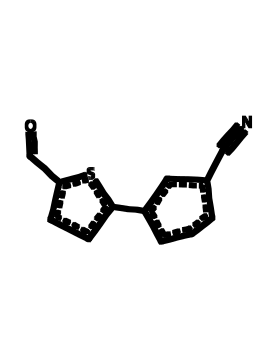 N#Cc1cccc(-c2ccc(C=O)s2)c1